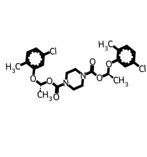 Cc1ccc(Cl)cc1O[C@@H](C)OC(=O)N1CCN(C(=O)O[C@H](C)Oc2cc(Cl)ccc2C)CC1